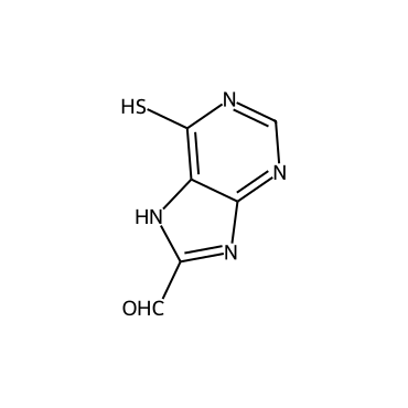 O=Cc1nc2ncnc(S)c2[nH]1